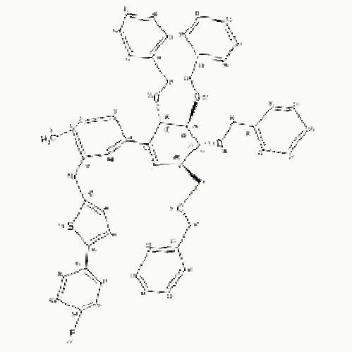 Cc1ccc(C2=C[C@H](COCc3ccccc3)[C@@H](OCc3ccccc3)[C@H](OCc3ccccc3)[C@H]2OCc2ccccc2)cc1Cc1ccc(-c2ccc(F)cc2)s1